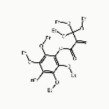 C=C(C(=O)Oc1c(OCC)c(OCC)c(CCC)c(OCC)c1OCC)C(OCC)(OCC)OCC